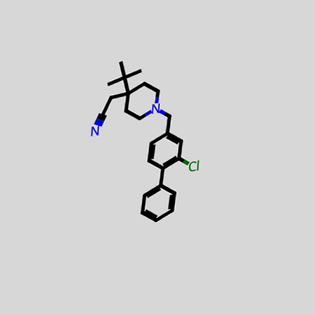 CC(C)(C)C1(CC#N)CCN(Cc2ccc(-c3ccccc3)c(Cl)c2)CC1